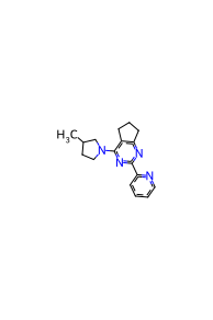 CC1CCN(c2nc(-c3ccccn3)nc3c2CCC3)C1